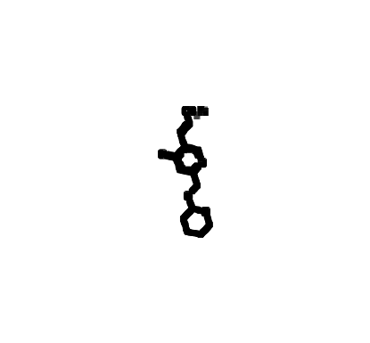 CCOC(=O)C=Cc1coc(COC2CCCCO2)cc1=O